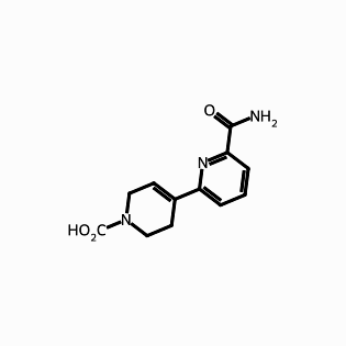 NC(=O)c1cccc(C2=CCN(C(=O)O)CC2)n1